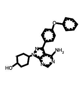 Nc1ncnc2c1c(-c1ccc(Oc3ccccc3)cc1)nn2C1C[CH]C(O)CC1